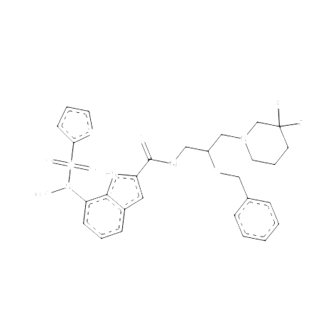 CN(c1cccc2cc(C(=O)NCC(CN3CCCC(F)(F)C3)SCc3ccccc3)[nH]c12)S(=O)(=O)c1cccs1